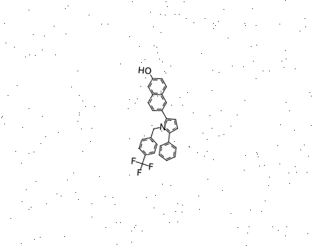 Oc1ccc2cc(-c3ccc(-c4ccccc4)n3Cc3ccc(C(F)(F)F)cc3)ccc2c1